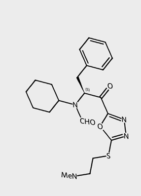 CNCCSc1nnc(C(=O)[C@H](Cc2ccccc2)N(C=O)C2CCCCC2)o1